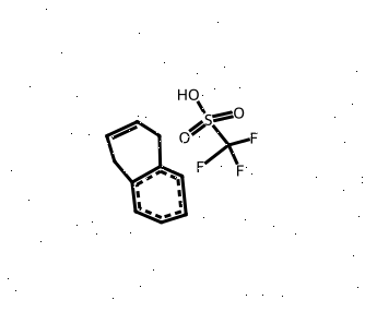 C1=CCc2ccccc2C1.O=S(=O)(O)C(F)(F)F